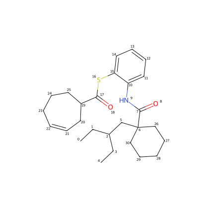 CCC(CC)CC1(C(=O)Nc2ccccc2SC(=O)C2CC=CCCC2)CCCCC1